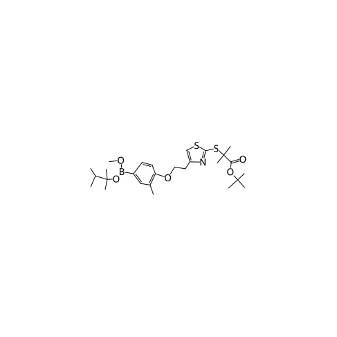 COB(OC(C)(C)C(C)C)c1ccc(OCCc2csc(SC(C)(C)C(=O)OC(C)(C)C)n2)c(C)c1